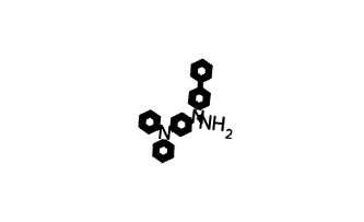 NN(c1ccc(-c2ccccc2)cc1)c1ccc(N(c2ccccc2)c2ccccc2)cc1